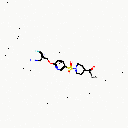 CNC(=O)C1CCN(S(=O)(=O)c2ccc(OC/C(=C/F)CN)nc2)CC1